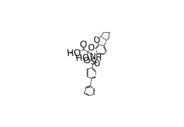 O=C(O)C(O)(NS(=O)(=O)c1ccc(-c2ccccc2)cc1)Oc1cccc2c1OC1CCCC21